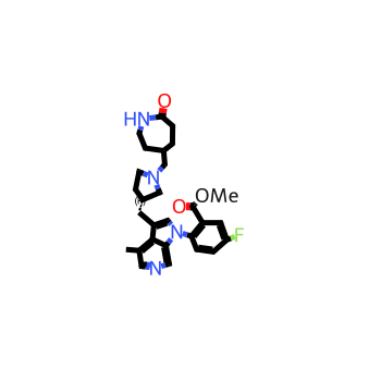 COC(=O)c1cc(F)ccc1-n1cc(C[C@@H]2CCN(CC3CCNC(=O)CC3)C2)c2c(C)cncc21